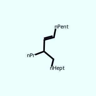 CCCCCC=CC(CCC)CCCCCCCC